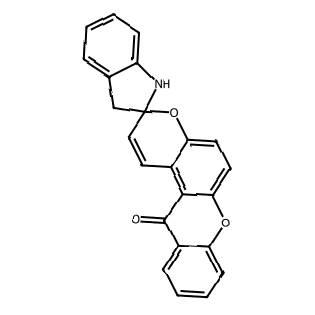 O=c1c2ccccc2oc2ccc3c(c12)C=CC1(Cc2ccccc2N1)O3